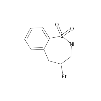 CCC1CNS(=O)(=O)c2ccccc2C1